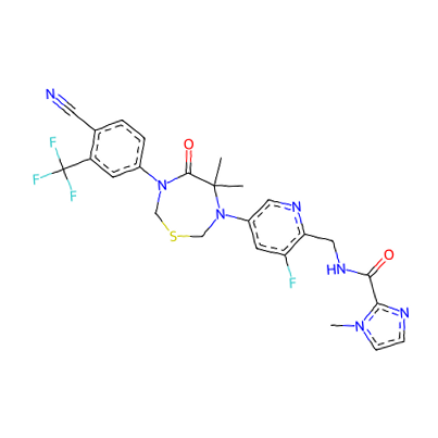 Cn1ccnc1C(=O)NCc1ncc(N2CSCN(c3ccc(C#N)c(C(F)(F)F)c3)C(=O)C2(C)C)cc1F